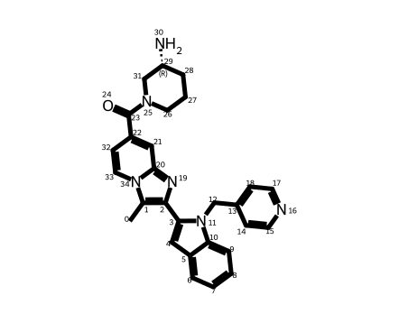 Cc1c(-c2cc3ccccc3n2Cc2ccncc2)nc2cc(C(=O)N3CCC[C@@H](N)C3)ccn12